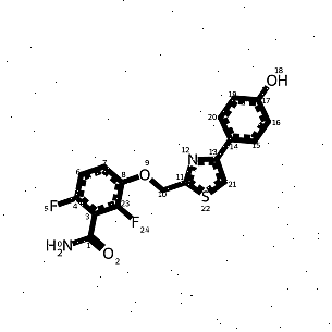 NC(=O)c1c(F)ccc(OCc2nc(-c3ccc(O)cc3)cs2)c1F